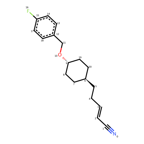 N#C/C=C/CC[C@H]1CC[C@H](OCc2ccc(F)cc2)CC1